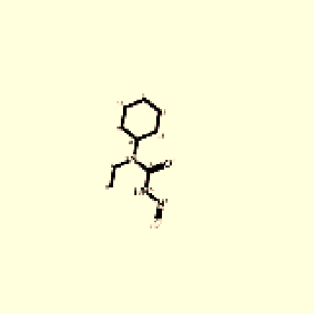 CCN(C(=O)NN=O)C1CCCCC1